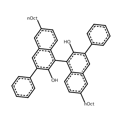 CCCCCCCCc1ccc2c(-c3c(O)c(-c4ccccc4)cc4cc(CCCCCCCC)ccc34)c(O)c(-c3ccccc3)cc2c1